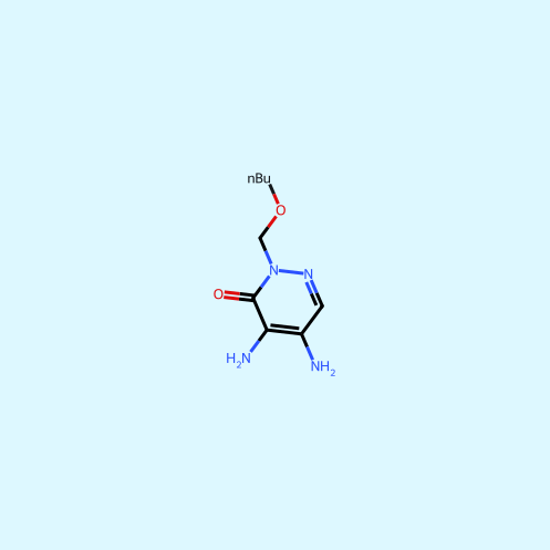 CCCCOCn1ncc(N)c(N)c1=O